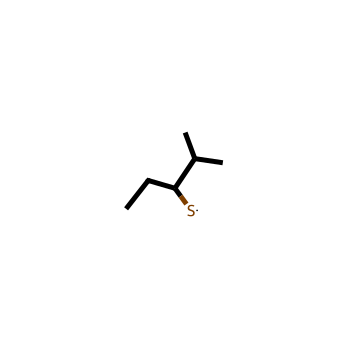 CCC([S])C(C)C